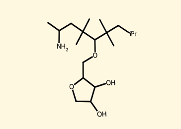 CC(C)CC(C)(C)C(OCC1OCC(O)C1O)C(C)(C)CC(C)N